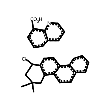 CC1(C)Cc2c(ccc3c2ccc2ccccc23)C(Cl)C1.O=C(O)c1cccc2cccnc12